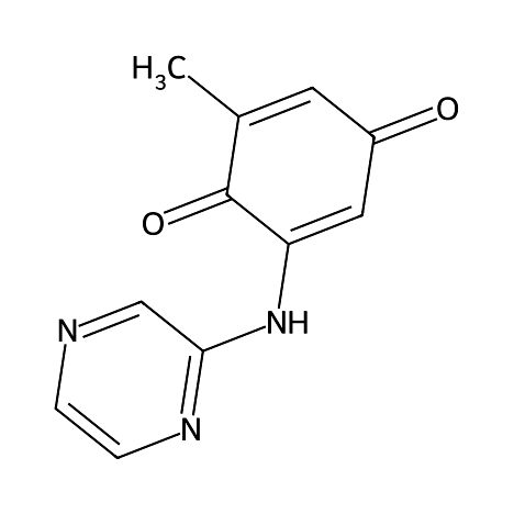 CC1=CC(=O)C=C(Nc2cnccn2)C1=O